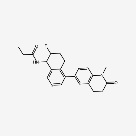 CCC(=O)NC1c2cncc(-c3ccc4c(c3)CCC(=O)N4C)c2CCC1F